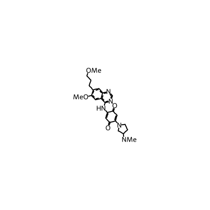 CNC1CCN(C2=CC(=O)C(Nc3ncnc4cc(CCCOC)c(OC)cc34)=CC2=O)C1